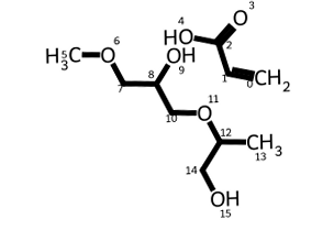 C=CC(=O)O.COCC(O)COC(C)CO